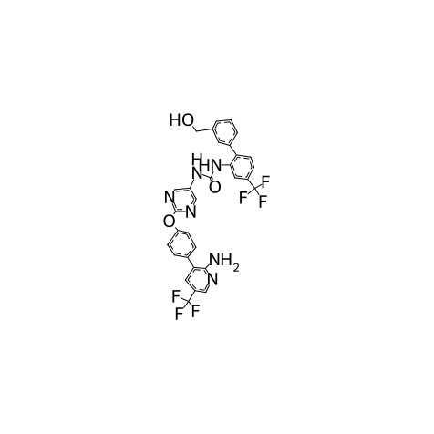 Nc1ncc(C(F)(F)F)cc1-c1ccc(Oc2ncc(NC(=O)Nc3cc(C(F)(F)F)ccc3-c3cccc(CO)c3)cn2)cc1